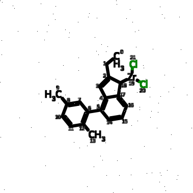 CCC1=Cc2c(-c3cc(C)ccc3C)cccc2[CH]1[Zr]([Cl])[Cl]